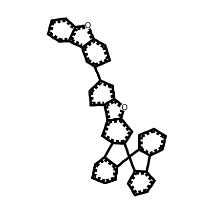 c1ccc2c(c1)-c1ccccc1C21c2ccccc2-c2cc3c(cc21)oc1cc(-c2ccc4oc5ccccc5c4c2)ccc13